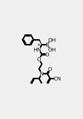 C=CC(C)N(CCOC(=O)N[C@@H](Cc1ccccc1)B(O)O)C(=O)C(=C)C#N